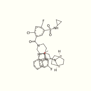 Cc1nc2ccccc2n1C1C[C@H]2CC[C@@H](C1)N2CCC1(c2cccc(F)c2)CCN(C(=O)c2cc(S(=O)(=O)NC3CC3)c(F)cc2Cl)CC1